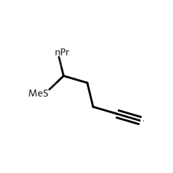 [C]#CCCC(CCC)SC